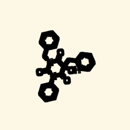 O=C1N(Cc2ccccc2)C(=O)C(O)(Cc2ccccc2)C(=O)N1c1ccccc1